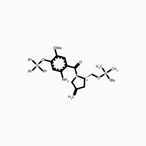 C=C1C[C@@H](CO[Si](C)(C)C(C)(C)C)N(C(=O)c2cc(OC)c(O[Si](C(C)C)(C(C)C)C(C)C)cc2N)C1